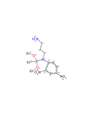 [CH2]CC(OCC)(OCC)N(CCCN)c1ccc([N+](=O)[O-])cc1[N+](=O)[O-]